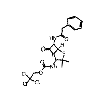 CC1(C)S[C@@H]2[C@H](NC(=O)Cc3ccccc3)C(=O)N2C1NC(=O)OCC(Cl)(Cl)Cl